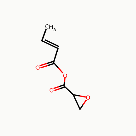 C/C=C/C(=O)OC(=O)C1CO1